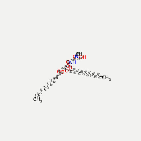 CCCCCCCCCCCCCCCCCC(=O)OCC(COC(=O)NCCON(C)CO)OC(=O)CCCCCCCCCCCCCCCCC